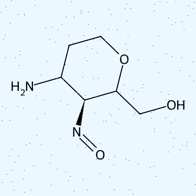 NC1CCOC(CO)[C@H]1N=O